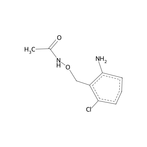 CC(=O)NOCc1c(N)cccc1Cl